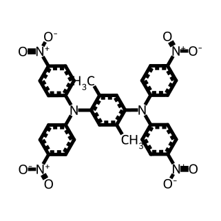 Cc1cc(N(c2ccc([N+](=O)[O-])cc2)c2ccc([N+](=O)[O-])cc2)c(C)cc1N(c1ccc([N+](=O)[O-])cc1)c1ccc([N+](=O)[O-])cc1